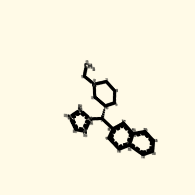 CCN1CCC[C@H](C(c2ccc3ccccc3c2)n2ncnn2)C1